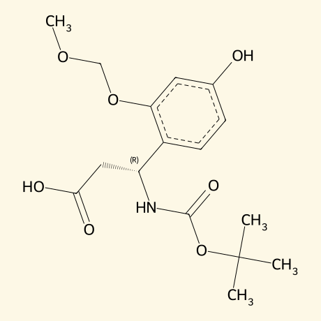 COCOc1cc(O)ccc1[C@@H](CC(=O)O)NC(=O)OC(C)(C)C